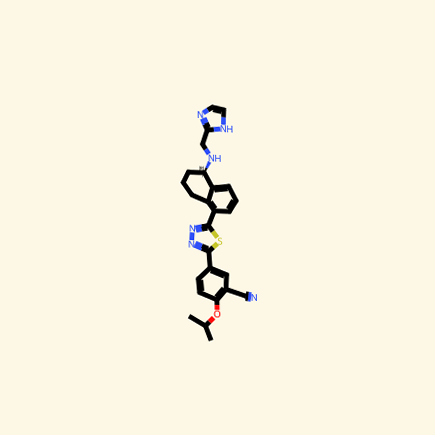 CC(C)Oc1ccc(-c2nnc(-c3cccc4c3CCC[C@H]4NCc3ncc[nH]3)s2)cc1C#N